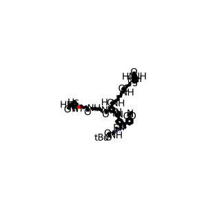 Cc1c(-c2cccc(S(=O)(=O)N(C)C)c2)c2cc(-c3cn(-c4cc(C(=O)NCCCCCNC(=O)CCCC[C@@H]5SC[C@@H]6NC(=O)N[C@@H]65)cc(C(=O)NCCCCCNC(=O)CCCC[C@@H]5SC[C@@H]6NC(=O)N[C@@H]65)c4)nn3)ccc2n1C/C(F)=C/CNC(=O)OC(C)(C)C